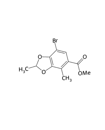 COC(=O)c1cc(Br)c2c(c1C)OC(C)O2